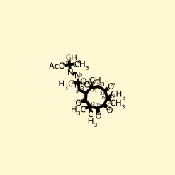 CC(=O)OC(C)(C)N=NC(C)(CC1C(=O)C(C)(C)C(=O)C(=O)C(C)(C)C(=O)CC1(C)C)OC(C)=O